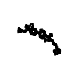 CC(=O)N(CC1CC1)c1ccc(-c2ccc(C(=O)NCCCn3ccnc3)cn2)cc1Cl